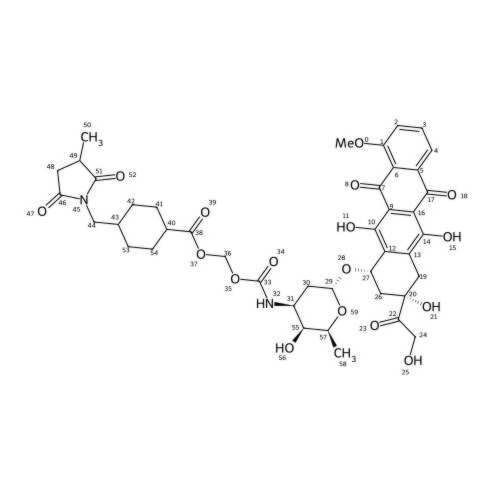 COc1cccc2c1C(=O)c1c(O)c3c(c(O)c1C2=O)C[C@@](O)(C(=O)CO)C[C@@H]3O[C@H]1C[C@H](NC(=O)OCOC(=O)C2CCC(CN3C(=O)CC(C)C3=O)CC2)[C@H](O)[C@H](C)O1